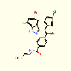 CCCC(c1ccc(C(=O)NCCC(=O)O)cc1)C(c1ccc(Cl)cc1)c1n[nH]c2c(F)cc(Br)cc12